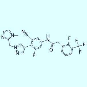 Cn1ccnc1Cn1cc(-c2c(F)cc(NC(=O)Cc3cccc(C(F)(F)F)c3F)cc2C#N)cn1